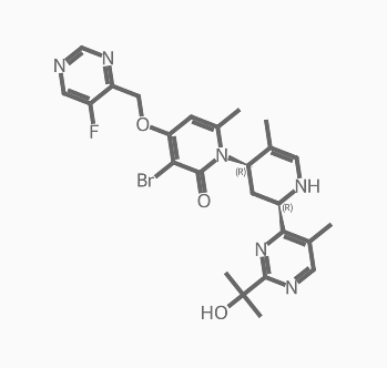 CC1=CN[C@@H](c2nc(C(C)(C)O)ncc2C)C[C@H]1n1c(C)cc(OCc2ncncc2F)c(Br)c1=O